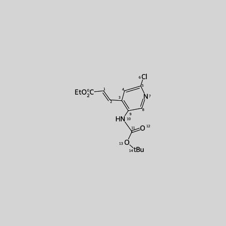 CCOC(=O)/C=C/c1cc(Cl)ncc1NC(=O)OC(C)(C)C